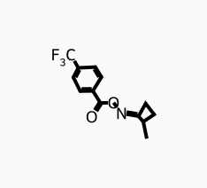 CC1CC/C1=N\OC(=O)c1ccc(C(F)(F)F)cc1